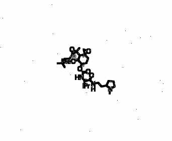 CO[C@H]1C(C2(C)O[C@@H]2CC=C(C)C)[C@]2(CC[C@H]1OC(=O)N[C@@H](C(=O)NCCC1CCCN1C)C(C)C)CO2